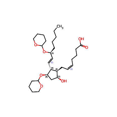 CCCCC[C@@H](/C=C/[C@@H]1[C@@H](C/C=C\CCCC(=O)O)[C@@H](O)C[C@H]1OC1CCCCO1)OC1CCCCO1